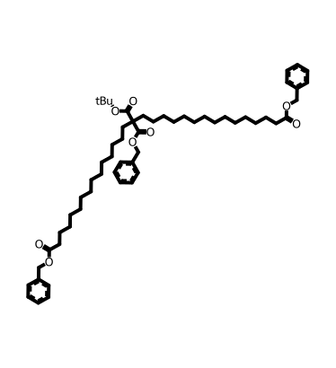 CC(C)(C)OC(=O)C(CCCCCCCCCCCCCCC(=O)OCc1ccccc1)(CCCCCCCCCCCCCCC(=O)OCc1ccccc1)C(=O)OCc1ccccc1